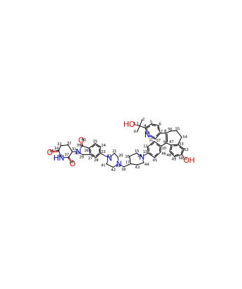 CC(C)(O)c1ccc(C2=C(c3ccc(N4CCC(CN5CCN(c6ccc7c(c6)CN(C6CCC(=O)NC6=O)C7=O)CC5)CC4)cc3)c3ccc(O)cc3CCC2)cn1